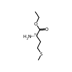 CCOC(=O)[C@@H](N)CCSC